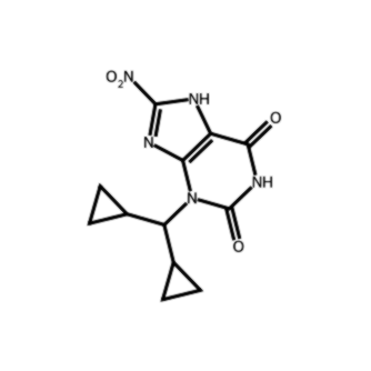 O=c1[nH]c(=O)n(C(C2CC2)C2CC2)c2nc([N+](=O)[O-])[nH]c12